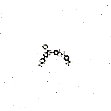 CN(C)C(=O)c1ccc(NC(=O)Nc2ccc(-c3nc(N4CCOCC4)c4ncc(-c5cnc(N(C)C)nc5)cc4n3)cc2F)cc1